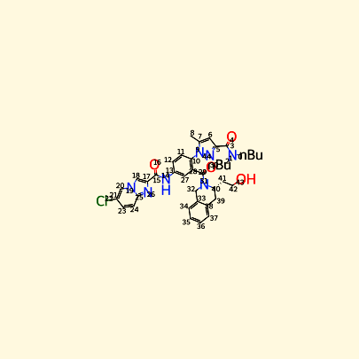 CCCCN(CCCC)C(=O)c1cc(C)n(-c2ccc(NC(=O)c3cn4cc(Cl)ccc4n3)cc2C(=O)N2Cc3ccccc3C[C@H]2CCO)n1